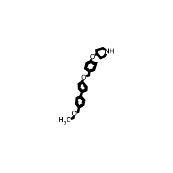 CCOCc1ccc(-c2ccc(OCc3ccc(OC4CCNCC4)cc3)cc2)cc1